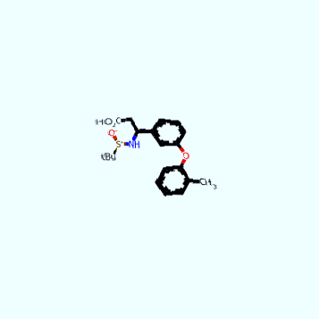 Cc1ccccc1Oc1cccc(C(CC(=O)O)N[S@+]([O-])C(C)(C)C)c1